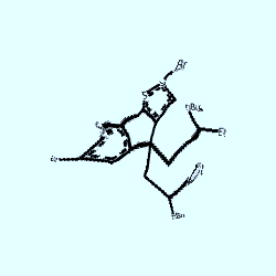 CCCCC(CC)CC1(CC(CC)CCCC)c2cc(Br)sc2-c2s[si](Br)cc21